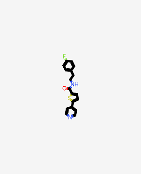 O=C(NCCc1ccc(F)cc1)c1ccc(-c2ccncc2)s1